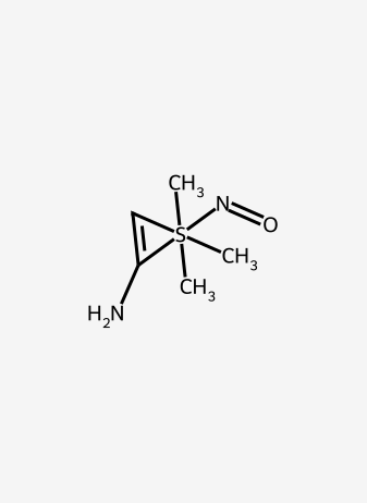 CS1(C)(C)(N=O)C=C1N